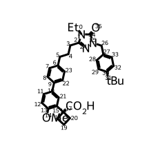 CCn1c(CCCc2ccc(-c3ccc(OC)c(C4(C(=O)O)CCC4)c3)cc2)nn(Cc2ccc(C(C)(C)C)cc2)c1=O